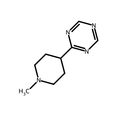 CN1CCC(c2ncncn2)CC1